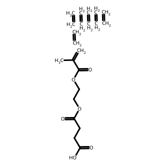 C=C.C=C.C=C.C=C.C=C.C=C.C=C(C)C(=O)OCCOC(=O)CCC(=O)O